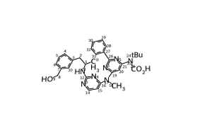 CC(Cc1cccc(CO)c1)Nc1nccc(N(C)c2cc(N(C(=O)O)C(C)(C)C)nc(-c3ccccc3)n2)n1